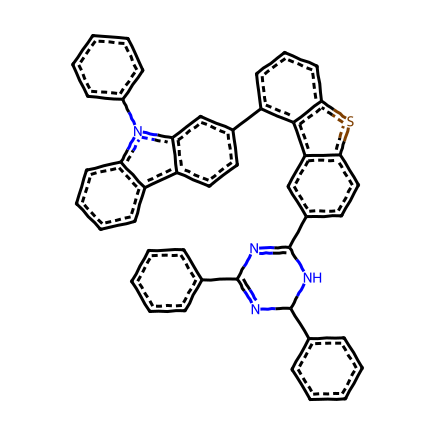 c1ccc(C2=NC(c3ccccc3)NC(c3ccc4sc5cccc(-c6ccc7c8ccccc8n(-c8ccccc8)c7c6)c5c4c3)=N2)cc1